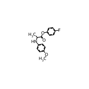 COc1ccc(NC(C)C(=O)Oc2ccc(F)cc2)cc1